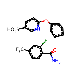 NC(=O)c1ccc(C(F)(F)F)cc1F.O=S(=O)(O)c1ccc(Oc2ccccc2)nc1